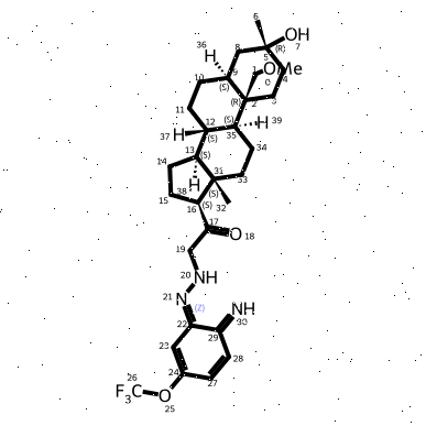 COC[C@]12CC[C@@](C)(O)C[C@@H]1CC[C@H]1[C@@H]3CC[C@H](C(=O)CN/N=C4/C=C(OC(F)(F)F)C=CC4=N)[C@@]3(C)CC[C@@H]12